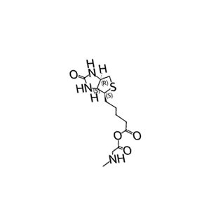 CNCC(=O)OC(=O)CCCC[C@@H]1SC[C@@H]2NC(=O)N[C@@H]21